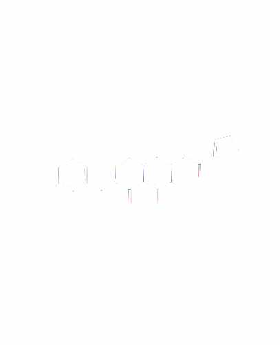 O=C(Nc1cn2ccn(Cc3cccc(Cl)c3)c(=O)c2c(O)c1=O)c1ccco1